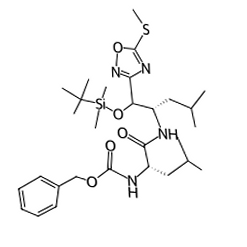 CSc1nc(C(O[Si](C)(C)C(C)(C)C)[C@H](CC(C)C)NC(=O)[C@H](CC(C)C)NC(=O)OCc2ccccc2)no1